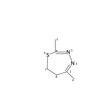 CC1=NN=C(C)SCC1